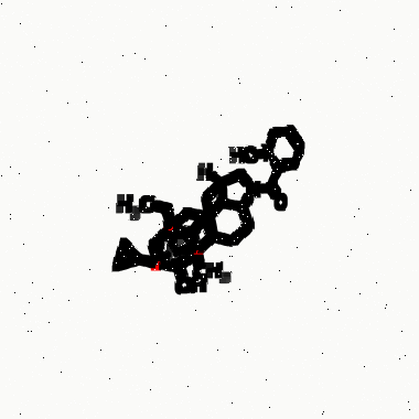 CCc1ccc(O)cc1C12CCN(CC3CC3)C(C)C13CCC1C2[C@@H](CN1C(=O)C1=CC=CCN1O)C3